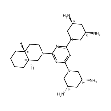 N[C@@H]1C[C@H](N)CN(c2nc(N3C[C@H](N)C[C@H](N)C3)nc(N3CC[C@H]4CCCC[C@@H]4C3)n2)C1